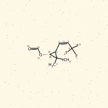 CC1(C)C(/C=C\C(F)(F)F)[C@H]1OC=O